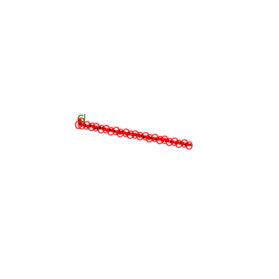 COCCOCCOCCOCCOCCOCCOCCOCCOCCOCCOCCOCCOCCOCCOCCOCCOCCOCCOCCOCCOCCOCCOC(=O)OCCl